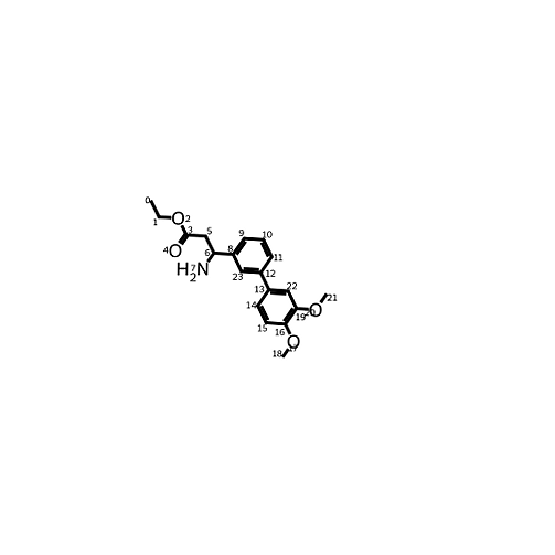 CCOC(=O)CC(N)c1cccc(-c2ccc(OC)c(OC)c2)c1